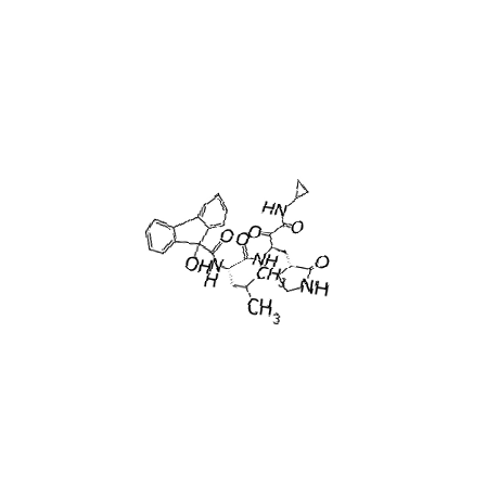 CC(C)C[C@H](NC(=O)C1(O)c2ccccc2-c2ccccc21)C(=O)N[C@H](C[C@H]1CCNC1=O)C(=O)C(=O)NC1CC1